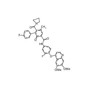 COc1cc2nccc(Oc3ccc(NC(=O)c4cn(C)c(C(=O)N5CCC5)c(-c5ccc(F)cc5)c4=O)cc3F)c2cc1OC